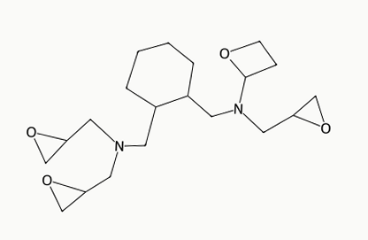 C1CCC(CN(CC2CO2)C2CCO2)C(CN(CC2CO2)CC2CO2)C1